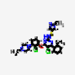 Cc1ccccc1-c1nc(NSc2cnn(C)c2)nc(Oc2cccc(N3CCN(C)CC3)c2Cl)c1Cl